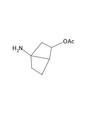 CC(=O)OC1CC2(N)CCC12